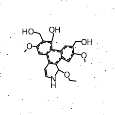 CCOC1NC=Cc2c1c1cc(OC)c(CO)cc1c1c(CO)c(CO)c(OC)cc21